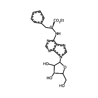 CCOC(=O)[C@H](Cc1ccccc1)Nc1ncnc2c1ncn2C1OC(CO)C(O)C1O